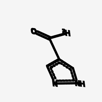 [2H]C(=O)c1cn[nH]c1